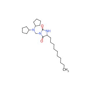 CCCCCCCCCCC1NC(=O)N(CN(C2CCCC2)C2CCCC2)C1=O